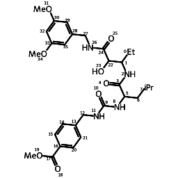 CCC(NC(=O)C(CC(C)C)NC(=O)NCc1ccc(C(=O)OC)cc1)C(O)C(=O)NCc1cc(OC)cc(OC)c1